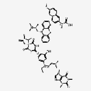 C=CCC1(C(C)CC)C(=O)NC(=O)NC1=O.CC(CN1c2ccccc2Sc2ccccc21)N(C)C.CC[C@@H](c1cccc(O)c1)[C@@H](C)CN(C)C.COc1ccc2cc([C@H](C)C(=O)O)ccc2c1.Cn1c(=O)c2c(ncn2C)n(C)c1=O